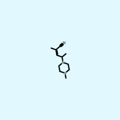 CC(C#N)=CC(C)N1CCN(C)CC1